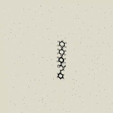 CN(CCc1ccccc1)C(=O)c1ccc(N2CCC(N3CCCCC3)CC2)cc1